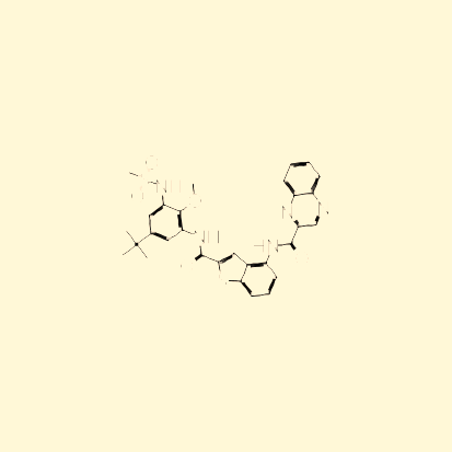 COc1c(NC(=O)c2cc3c(NC(=O)c4cnc5ccccc5n4)cccc3s2)cc(C(C)(C)C)cc1NS(C)(=O)=O